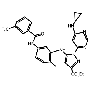 CCOC(=O)c1cc(Nc2cc(NC(=O)c3cccc(C(F)(F)F)c3)ccc2C)n(-c2cc(NC3CC3)ncn2)n1